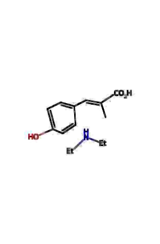 CC(=Cc1ccc(O)cc1)C(=O)O.CCNCC